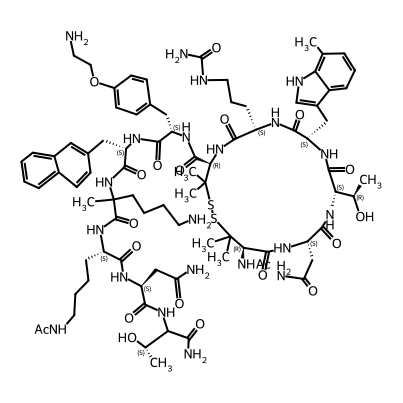 CC(=O)NCCCC[C@H](NC(=O)C(C)(CCCCN)NC(=O)[C@H](Cc1ccc2ccccc2c1)NC(=O)[C@H](Cc1ccc(OCCN)cc1)NC(=O)[C@H]1NC(=O)[C@H](CCCNC(N)=O)NC(=O)[C@H](Cc2c[nH]c3c(C)cccc23)NC(=O)[C@H]([C@@H](C)O)NC(=O)[C@H](CC(N)=O)NC(=O)[C@@H](NC(C)=O)C(C)(C)SSC1(C)C)C(=O)N[C@@H](CC(N)=O)C(=O)NC(C(N)=O)[C@H](C)O